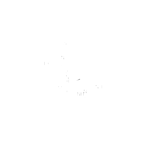 NC(=O)[C@H](Cc1c[nH]cn1)NC(=O)C(Cc1ccccc1)C(O)C(=O)N1CCOCC1